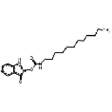 CCCCCCCCCCCCNC(=O)On1[nH]c2ccccc2c1=O